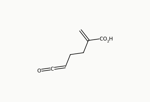 C=C(CCC=C=O)C(=O)O